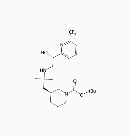 CC(C)(C[C@@H]1CCCN(C(=O)OC(C)(C)C)C1)NC[C@H](O)c1cccc(C(F)(F)F)n1